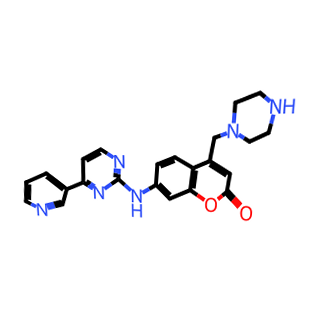 O=c1cc(CN2CCNCC2)c2ccc(Nc3nccc(-c4cccnc4)n3)cc2o1